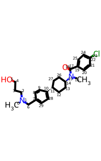 CN(CCCO)Cc1ccc([C@H]2CC[C@H](N(C)C(=O)c3ccc(Cl)cc3)CC2)cc1